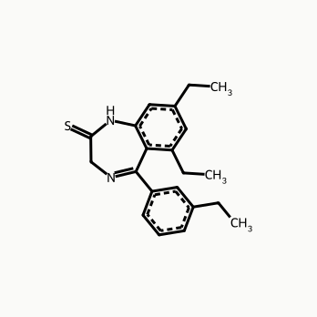 CCc1cccc(C2=NCC(=S)Nc3cc(CC)cc(CC)c32)c1